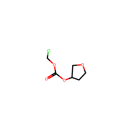 O=C(OCCl)OC1CCOC1